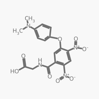 CN(C)c1ccc(Oc2cc(C(=O)NCC(=O)O)c([N+](=O)[O-])cc2[N+](=O)[O-])cc1